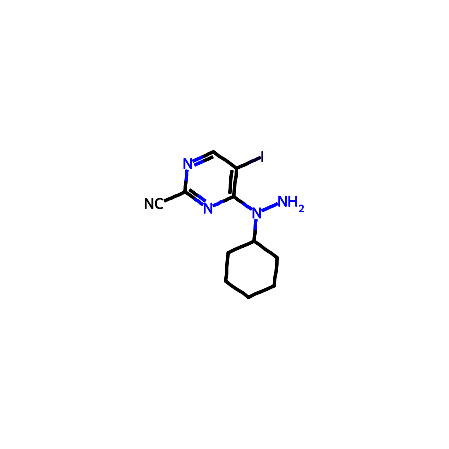 N#Cc1ncc(I)c(N(N)C2CCCCC2)n1